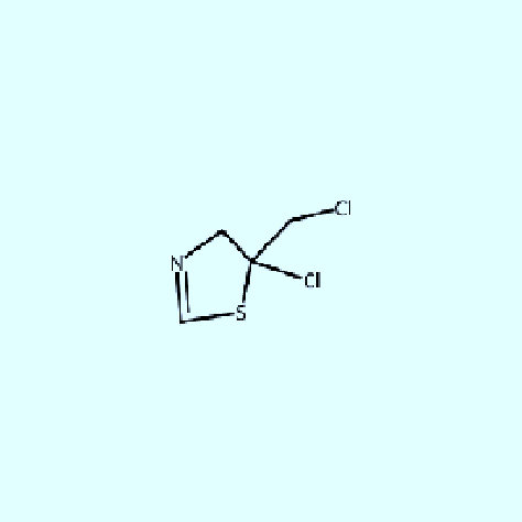 ClCC1(Cl)CN=CS1